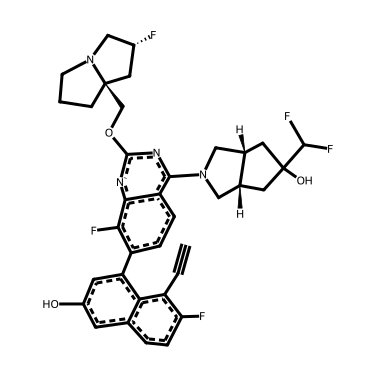 C#Cc1c(F)ccc2cc(O)cc(-c3ccc4c(N5C[C@@H]6CC(O)(C(F)F)C[C@@H]6C5)nc(OC[C@@]56CCCN5C[C@H](F)C6)nc4c3F)c12